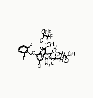 Cc1nc2c(OCc3c(F)cccc3F)cc(Cl)cn2c1C(=O)NC(C)(C)CNC(=O)O.O=C(O)C(F)(F)F